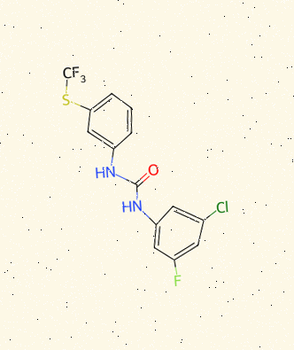 O=C(Nc1cc(F)cc(Cl)c1)Nc1cccc(SC(F)(F)F)c1